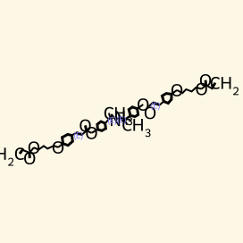 C=CC(=O)OCCCCOc1ccc(/C=C/C(=O)Oc2ccc(/C(C)=N/N=C(\C)c3ccc(OC(=O)/C=C/c4ccc(OCCCCOC(=O)C=C)cc4)cc3)cc2)cc1